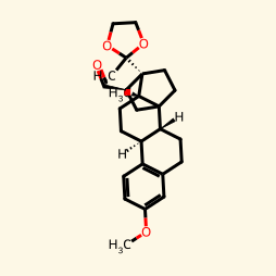 COc1ccc2c(c1)CC[C@@H]1[C@@H]2CC[C@@]2(C)C13CC[C@]2(C1(C)OCCO1)[C@H](C=O)C3